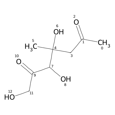 CC(=O)CC(C)(O)C(O)C(=O)CO